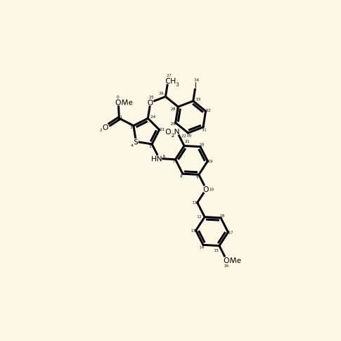 COC(=O)c1sc(Nc2cc(OCc3ccc(OC)cc3)ccc2[N+](=O)[O-])cc1OC(C)c1ccccc1I